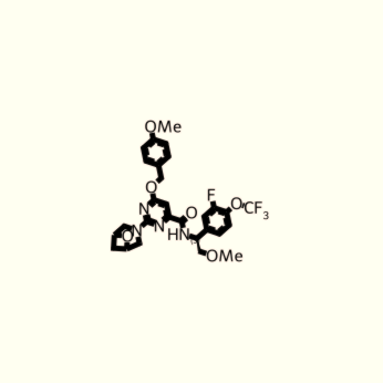 COC[C@@H](NC(=O)c1cc(OCc2ccc(OC)cc2)nc(N2CC3CC(C2)O3)n1)c1ccc(OC(F)(F)F)c(F)c1